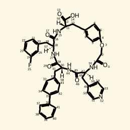 O=C1COc2ccc(cc2)C[C@@H](C(=O)O)NC(=O)[C@H](Cc2cccc(F)c2)NC(=O)[C@@H](Cc2ccc(-c3ccccc3)cc2)NC(=O)[C@H](Cc2ccncc2)N1